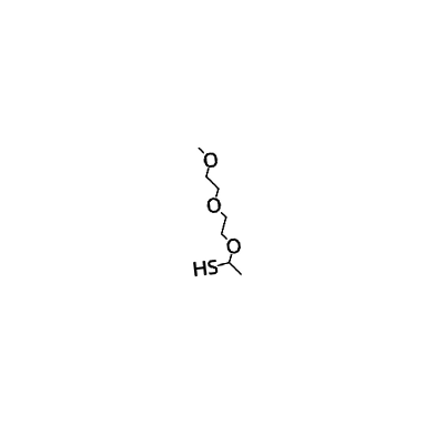 COCCOCCOC(C)S